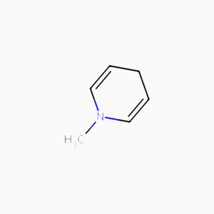 CN1[C]=CCC=C1